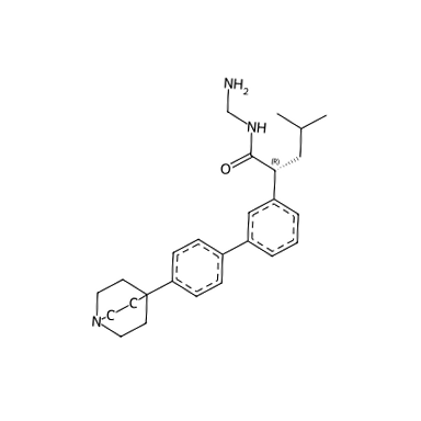 CC(C)C[C@@H](C(=O)NCN)c1cccc(-c2ccc(C34CCN(CC3)CC4)cc2)c1